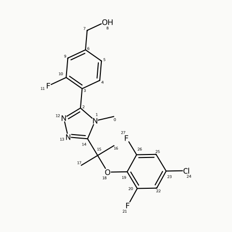 Cn1c(-c2ccc(CO)cc2F)nnc1C(C)(C)Oc1c(F)cc(Cl)cc1F